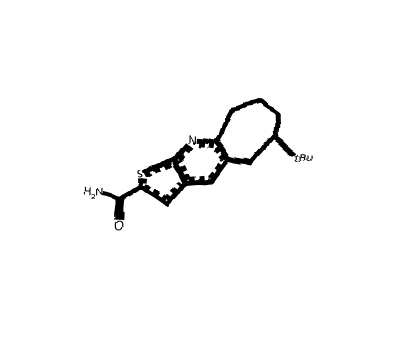 CC(C)(C)C1CCCc2nc3sc(C(N)=O)cc3cc2C1